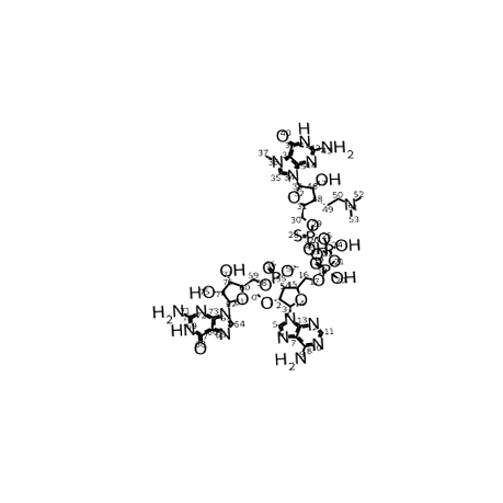 CO[C@H]1[C@H](n2cnc3c(N)ncnc32)OC(COP(=O)(O)OP(=O)(O)OP(O)(=S)OC[C@H]2OC(n3c[n+](C)c4c(=O)[nH]c(N)nc43)[C@H](O)[C@@H]2CCN(C)C)[C@H]1P(=O)([O-])OC[C@H]1O[C@@H](n2cnc3c(=O)[nH]c(N)nc32)[C@H](O)[C@@H]1O